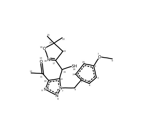 COc1ccc(Cn2nnc(C(C)=O)c2C(S)C2=NOC(C)(C)C2)cc1